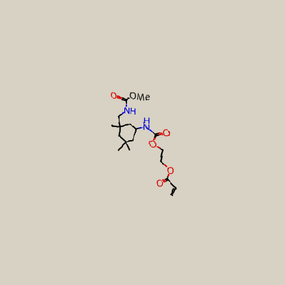 C=CC(=O)OCCOC(=O)NC1CC(C)(C)CC(C)(CNC(=O)OC)C1